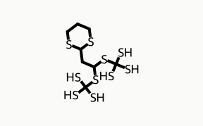 SC(S)(S)SC(CC1SCCCS1)SC(S)(S)S